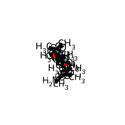 CCC(C)(OC1COC(C(C)(C)OC2COC(OC(=O)C=C(C)N)C(OC(C)=O)C2OC(C)=O)C(OC(C)=O)C1OC(C)=O)C1OCC(OC(C)=O)C(OC(C)=O)C1OC(C)=O